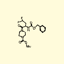 CCCCOC(=O)N1CCN(C(=O)C(CC(F)F)NC(=O)OCc2ccccc2)CC1